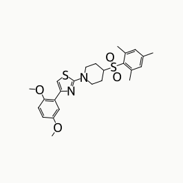 COc1ccc(OC)c(-c2csc(N3CCC(S(=O)(=O)c4c(C)cc(C)cc4C)CC3)n2)c1